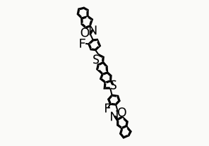 Fc1cc(-c2cc3cc4cc5sc(-c6ccc(-c7nc8cc9ccccc9cc8o7)c(F)c6)cc5cc4cc3s2)ccc1-c1nc2cc3ccccc3cc2o1